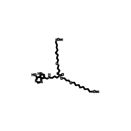 CCCCCCCCCCCCCCCCCCOCCCOP(=O)(CCCNCc1c[nH]c2c(O)ncnc12)OCCCOCCCCCCCCCCCCCCCCCC